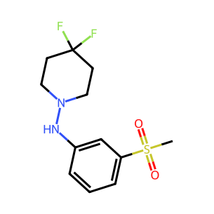 CS(=O)(=O)c1cccc(NN2CCC(F)(F)CC2)c1